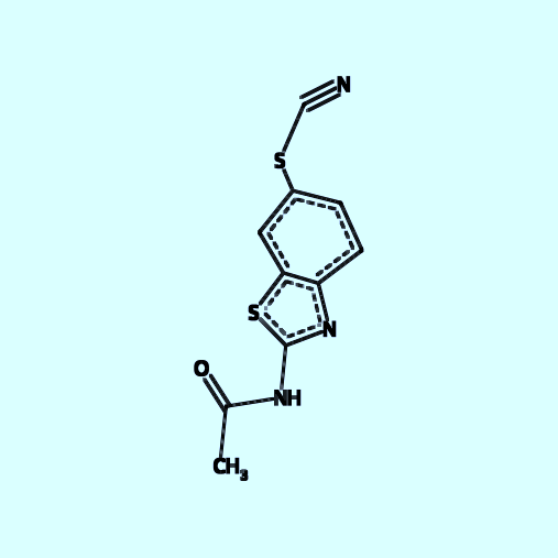 CC(=O)Nc1nc2ccc(SC#N)cc2s1